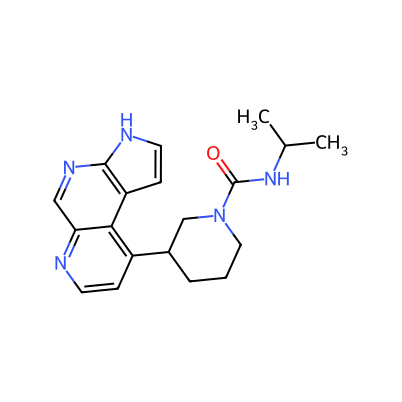 CC(C)NC(=O)N1CCCC(c2ccnc3cnc4[nH]ccc4c23)C1